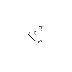 [CH3][In+2].[Cl-].[Cl-]